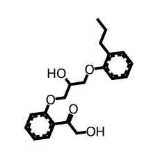 CCCc1ccccc1OCC(O)COc1ccccc1C(=O)CO